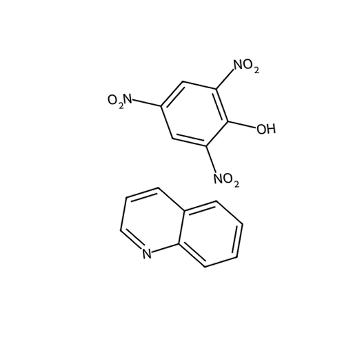 O=[N+]([O-])c1cc([N+](=O)[O-])c(O)c([N+](=O)[O-])c1.c1ccc2ncccc2c1